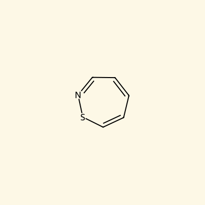 C1=CC=NSC=C1